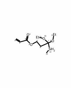 C=CC(=O)OCCC(OCC)(OCC)[SiH2]C